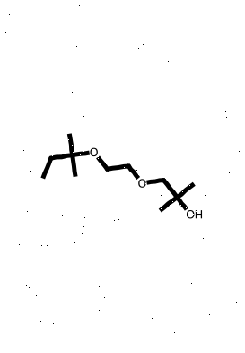 CCC(C)(C)OCCOCC(C)(C)O